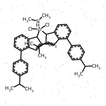 CC1=Cc2c(-c3ccc(C(C)C)cc3)cccc2[CH]1[Zr]([Cl])([Cl])([CH]1C(C(C)C)=Cc2c(-c3ccc(C(C)C)cc3)cccc21)[SiH](C)C